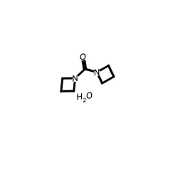 O.O=C(N1CCC1)N1CCC1